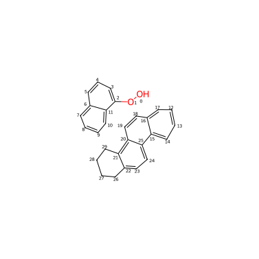 OOc1cccc2ccccc12.c1ccc2c(c1)ccc1c3c(ccc12)CCCC3